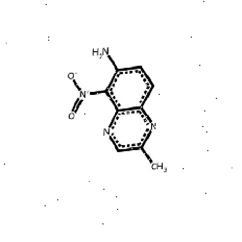 Cc1cnc2c([N+](=O)[O-])c(N)ccc2n1